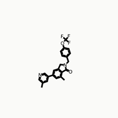 Cc1cncc(-c2cc(C)c3c(c2)CN(Cc2ccc(OC(F)(F)F)cc2)C3=O)c1